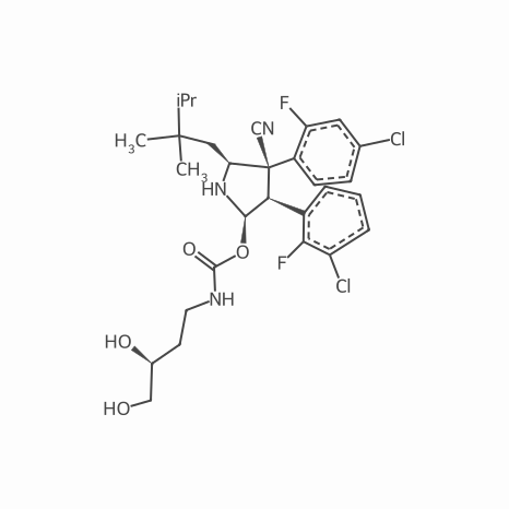 CC(C)C(C)(C)C[C@@H]1N[C@H](OC(=O)NCC[C@H](O)CO)[C@H](c2cccc(Cl)c2F)[C@@]1(C#N)c1ccc(Cl)cc1F